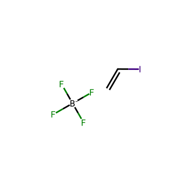 C=CI.F[B-](F)(F)F